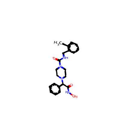 Cc1ccccc1CNC(=O)N1CCN(C(C(=O)NO)c2ccccc2)CC1